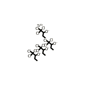 CCC([O-])C(Cl)(Cl)Cl.CCC([O-])C(Cl)(Cl)Cl.CCC([O-])C(Cl)(Cl)Cl.CCC([O-])C(Cl)(Cl)Cl.[Ti+4]